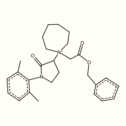 Cc1cccc(C)c1N1CCC([N+]2(CC(=O)OCc3ccccc3)CCCCCC2)C1=O